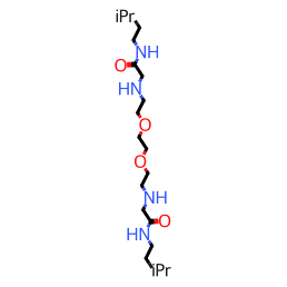 CC(C)CCNC(=O)CNCCOCCOCCNCC(=O)NCCC(C)C